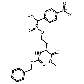 COC(=O)[C@H](CCO[PH](=O)C(O)c1ccc([N+](=O)[O-])cc1)NC(=O)OCc1ccccc1